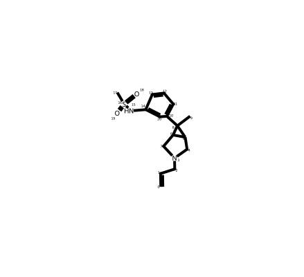 C=CCN1CC2C(C1)C2(C)c1cccc(NS(C)(=O)=O)c1